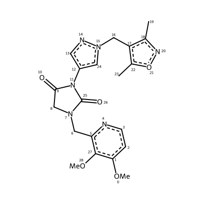 COc1ccnc(CN2CC(=O)N(c3cnn(Cc4c(C)noc4C)c3)C2=O)c1OC